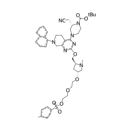 Cc1ccc(S(=O)(=O)OCCOCCO[C@@H]2C[C@@H](COc3nc4c(c(N5CCN(C(=O)OC(C)(C)C)[C@@H](CC#N)C5)n3)CCN(c3cccc5ccccc35)C4)N(C)C2)cc1